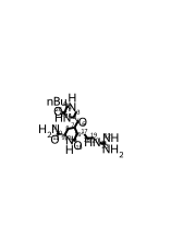 CCCC[C@@H]1NC[C@H](C(=O)C2C[C@H](C(N)=O)NC(=O)[C@H]2CCCNC(=N)N)NC1=O